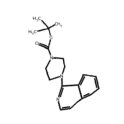 CC(C)(C)OC(=O)N1CCN(c2nccc3ccccc23)CC1